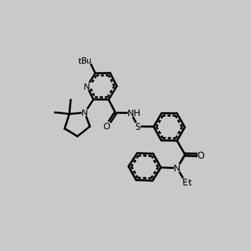 CCN(C(=O)c1cccc(SNC(=O)c2ccc(C(C)(C)C)nc2N2CCCC2(C)C)c1)c1ccccc1